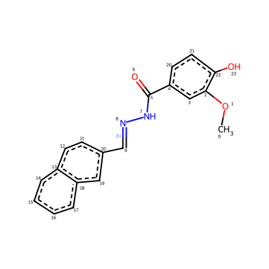 COc1cc(C(=O)N/N=C/c2ccc3ccccc3c2)ccc1O